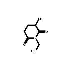 CCN1C(=O)CCC(N)C1=O